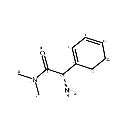 CN(C)C(=O)[C@@H](N)C1=CC=CCC1